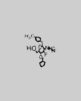 Cc1ccc(S[C@@H]2O[C@H](CO)[C@@H](OCc3ccccc3)[C@H](F)C2N=[N+]=[N-])cc1